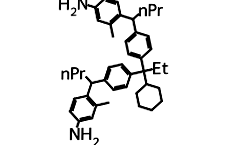 CCCC(c1ccc(C(CC)(c2ccc(C(CCC)c3ccc(N)cc3C)cc2)C2CCCCC2)cc1)c1ccc(N)cc1C